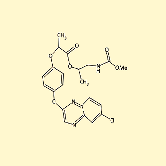 COC(=O)NCC(C)OC(=O)C(C)Oc1ccc(Oc2cnc3cc(Cl)ccc3n2)cc1